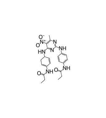 CCC(=O)NC1=CCC(Nc2nc(Nc3ccc(NC(=O)CC)cc3)nc(C)c2[N+](=O)[O-])C=C1